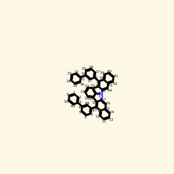 c1ccc(-c2cccc(-c3c4ccccc4cc4c3c3cccc5c6c(-c7cccc(-c8ccccc8)c7)c7ccccc7cc6n4c35)c2)cc1